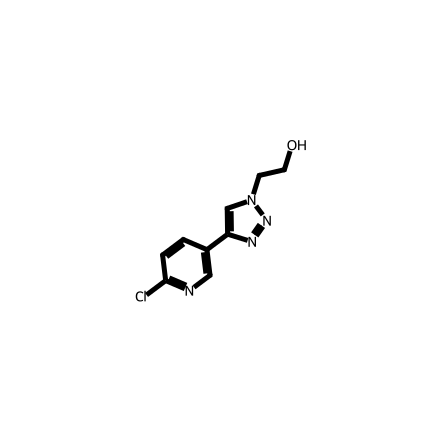 OCCn1cc(-c2ccc(Cl)nc2)nn1